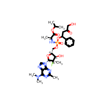 Cc1nc(N(C)C)c2ncn([C@@H]3O[C@H](COP(=O)(N[C@@H](C)C(=O)OC(C)C)OC(CC(=O)CO)c4ccccc4)[C@@H](O)[C@@]3(C)F)c2n1